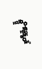 Nc1ccc(C(=O)NCC(=O)Nc2nc(-c3cccc(-c4ccnc(CO)c4)c3)cs2)cc1